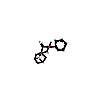 CCC(=O)N1CC2CC(C1)N2CCCc1ccccc1